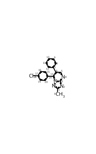 Cc1nc2ncc(-c3ccccc3)c(-c3ccc(Cl)cc3)n2n1